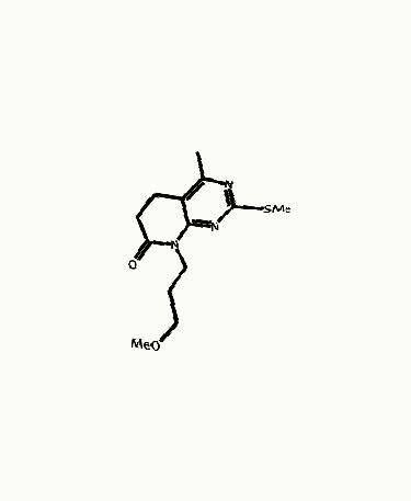 COCCCN1C(=O)CCc2c(C)nc(SC)nc21